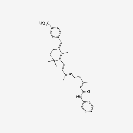 CC(C=CC1=C(C)C(=Cc2ccc(C(=O)O)cc2)CCC1(C)C)=CC=CC(C)=CC(=O)Nc1ccccc1